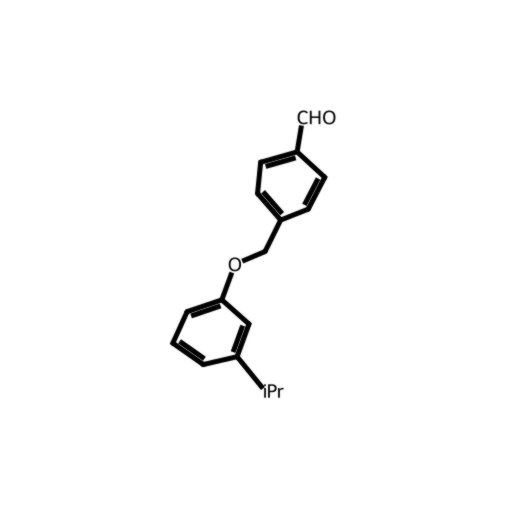 CC(C)c1cccc(OCc2ccc(C=O)cc2)c1